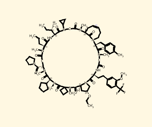 CCC[C@H]1C(=O)N[C@@H]([C@@H](C)CC)C(=O)N(C2CC2)CC(=O)N(C)[C@H]2C/C=C\CCN(C2=O)[C@@H](Cc2ccc(C)cc2)C(=O)N(C)CC(=O)N[C@@H](CCc2ccc(C(F)(F)F)c(OC)c2)C(=O)N2C[C@H](OCC)C[C@H]2C(=O)N(C)C2(CCC2)C(=O)N(C)[C@@H](C2CCCC2)C(=O)N(C)[C@H](C(=O)N2CCCC2)CC(=O)N1C